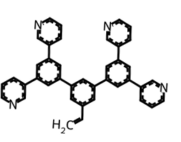 C=Cc1cc(-c2cc(-c3cccnc3)cc(-c3cccnc3)c2)cc(-c2cc(-c3cccnc3)cc(-c3cccnc3)c2)c1